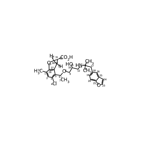 Cc1cc(Cl)c([C@@H](C)OCC(O)CNC(C)(C)Cc2ccc3occc3c2)c2c1O[C@@H]1[C@@H](C(=O)O)[C@H]21